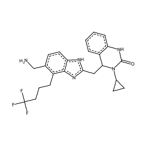 NCc1ccc2[nH]c(CC3c4ccccc4NC(=O)N3C3CC3)nc2c1CCCC(F)(F)F